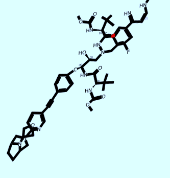 CN/C=C\C(=N)c1cc(F)c(CN(C[C@H](O)[C@H](Cc2ccc(C#Cc3ccc(N4CC5CCC(C4)N5C4COC4)nc3)cc2)NC(=O)[C@@H](NC(=O)OC)C(C)(C)C)NC(=O)[C@@H](NC(=O)OC)C(C)(C)C)c(F)c1